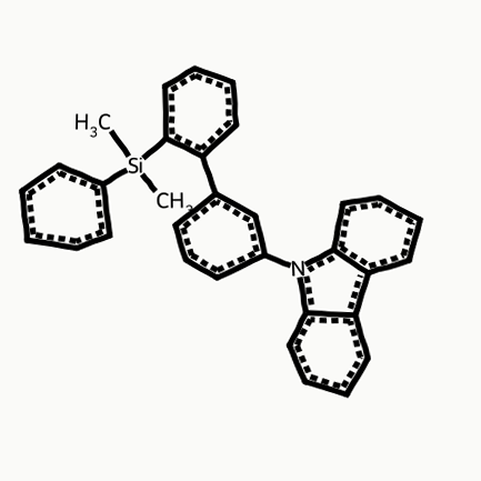 C[Si](C)(c1ccccc1)c1ccccc1-c1cccc(-n2c3ccccc3c3ccccc32)c1